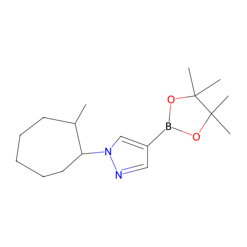 CC1CCCCCC1n1cc(B2OC(C)(C)C(C)(C)O2)cn1